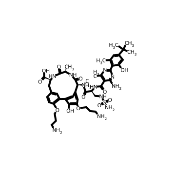 Cc1cc(C(C)(C)C)cc(O)c1-c1nc(C)c(C(=O)N[C@@H](CNS(N)(=O)=O)C(=O)N(C)[C@@H]2C(=O)N[C@@H](C)C(=O)N[C@H](C(=O)O)Cc3ccc(OCCCN)c(c3)-c3cc2cc(OCCCN)c3O)c(N)n1